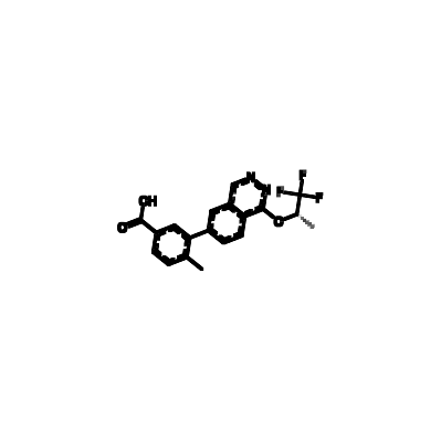 Cc1ccc(C(=O)O)cc1-c1ccc2c(O[C@@H](C)C(F)(F)F)nncc2c1